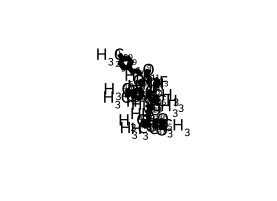 Cc1ccc(CCNC(=O)[C@H](CC(F)F)NC(=O)[C@@H]2[C@@H]3[C@H](CN2C(=O)[C@@H](NC(=O)N[C@H](CN(C)S(C)(=O)=O)C(C)(C)C)C(C)(C)C)C3(C)C)cc1